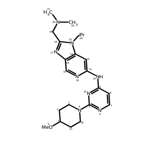 COC1CCN(c2nccc(Nc3cc4c(cn3)nc(CN(C)C)n4C(C)C)n2)CC1